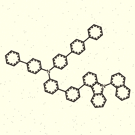 c1ccc(-c2ccc(-c3ccc(N(c4ccc(-c5ccccc5)cc4)c4cccc(-c5cccc(-c6cccc7c6c6ccccc6n7-c6cccc7ccccc67)c5)c4)cc3)cc2)cc1